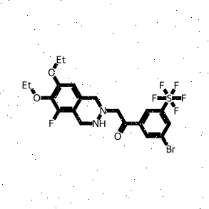 CCOc1cc2c(c(F)c1OCC)CNN(CC(=O)c1cc(Br)cc(S(F)(F)(F)(F)F)c1)C2